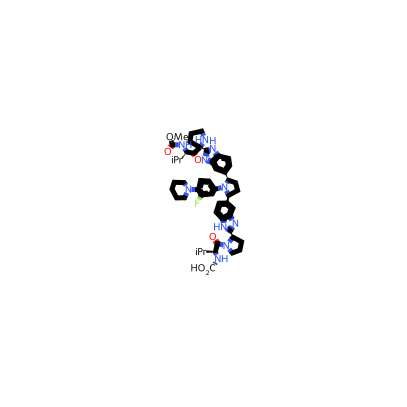 COC(=O)N[C@H](C(=O)[C@@]1(c2nc3cc([C@@H]4CC[C@@H](c5ccc6[nH]c([C@@H]7CCCN7C(=O)[C@@H](NC(=O)O)C(C)C)nc6c5)N4c4ccc(N5CCCCC5)c(F)c4)ccc3[nH]2)CCCN1)C(C)C